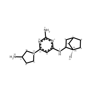 Nc1nc(NC2CC3CC[C@@H]2C3)cc(N2CCC(N)C2)n1